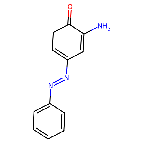 NC1=CC(N=Nc2ccccc2)=CCC1=O